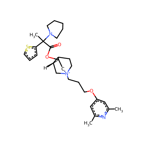 Cc1cc(OCCC[N+]23CCC(CC2)[C@@H](OC(=O)C(C)(c2cccs2)N2CCCCC2)C3)cc(C)n1